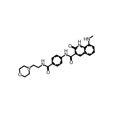 CNc1cccc2cc(C(=O)Nc3ccc(C(=O)NCCN4CCOCC4)cc3)c(=O)[nH]c12